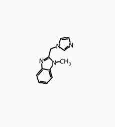 Cn1c(Cn2ccnc2)nc2ccccc21